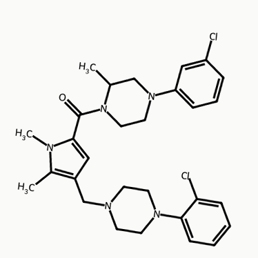 Cc1c(CN2CCN(c3ccccc3Cl)CC2)cc(C(=O)N2CCN(c3cccc(Cl)c3)CC2C)n1C